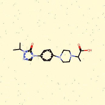 CC(C(=O)O)N1CCN(c2ccc(-n3cnn(C(C)C)c3=O)cc2)CC1